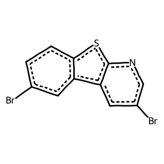 Brc1ccc2sc3ncc(Br)cc3c2c1